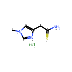 Cl.Cn1cnc(CC(N)=S)c1